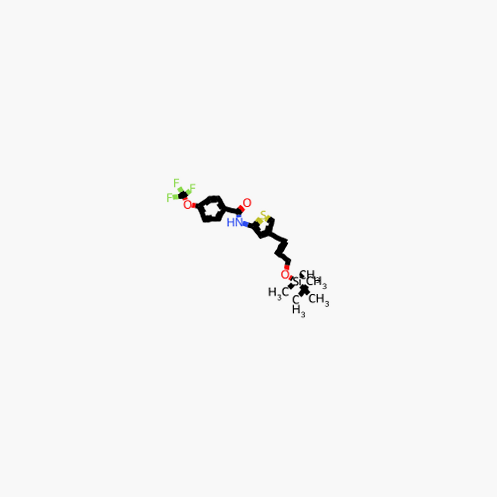 CC(C)(C)[Si](C)(C)OCC=Cc1csc(NC(=O)c2ccc(OC(F)(F)F)cc2)c1